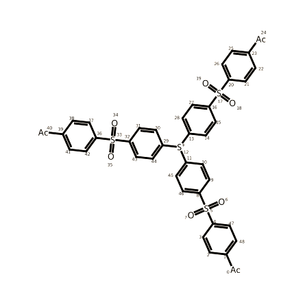 CC(=O)c1ccc(S(=O)(=O)c2ccc([S+](c3ccc(S(=O)(=O)c4ccc(C(C)=O)cc4)cc3)c3ccc(S(=O)(=O)c4ccc(C(C)=O)cc4)cc3)cc2)cc1